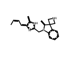 C=C1N(Cc2n/c(=C/C=C\C)c(=C)[nH]2)c2ccccc2C12CNC2